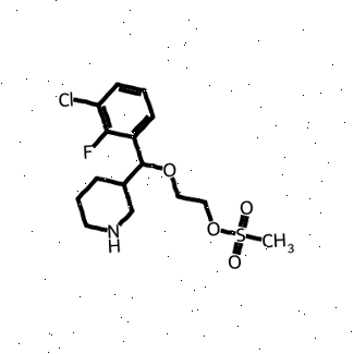 CS(=O)(=O)OCCOC(c1cccc(Cl)c1F)C1CCCNC1